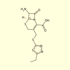 CCc1nnc(SCC2=C(C(=O)O)N3C(=O)C(N)[C@@H]3SC2)s1